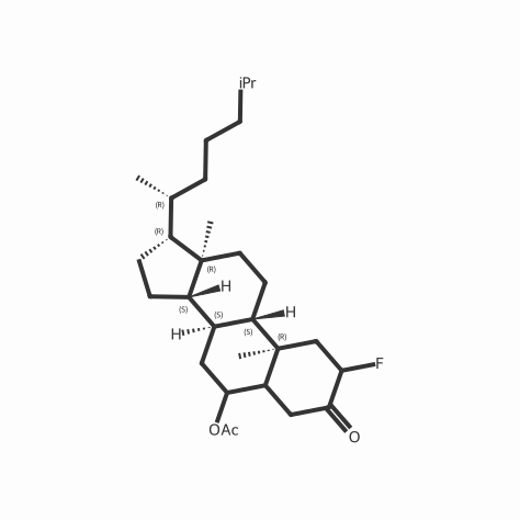 CC(=O)OC1C[C@H]2[C@@H]3CC[C@H]([C@H](C)CCCC(C)C)[C@@]3(C)CC[C@@H]2[C@@]2(C)CC(F)C(=O)CC12